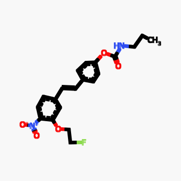 CCCNC(=O)Oc1ccc(/C=C/c2ccc([N+](=O)[O-])c(OCCF)c2)cc1